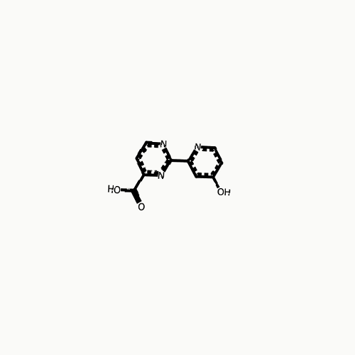 O=C(O)c1ccnc(-c2cc(O)ccn2)n1